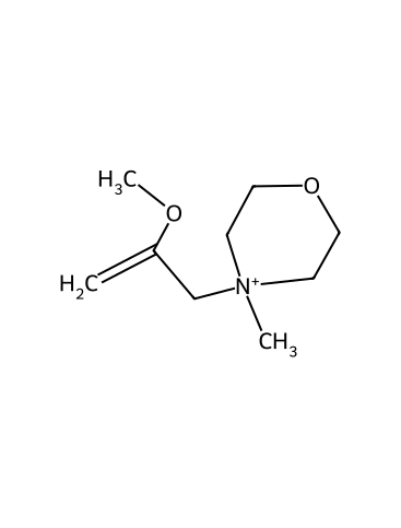 C=C(C[N+]1(C)CCOCC1)OC